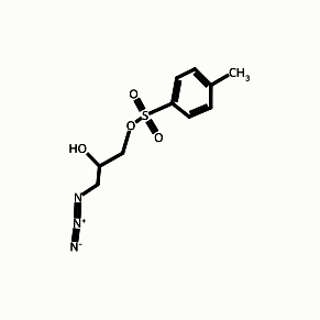 Cc1ccc(S(=O)(=O)OCC(O)CN=[N+]=[N-])cc1